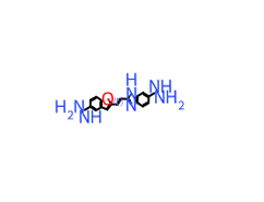 N=C(N)c1ccc2oc(/C=C/c3nc4ccc(C(=N)N)cc4[nH]3)cc2c1